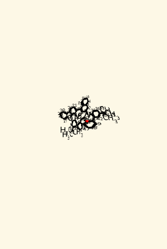 CC(C)(C)c1ccc(N2B3c4c(cc5ccccc5c4-c4ccc5c(oc6ccccc65)c42)N(c2ccc(C(C)(C)C)cc2-c2ccccc2)c2sc4ccccc4c23)cc1